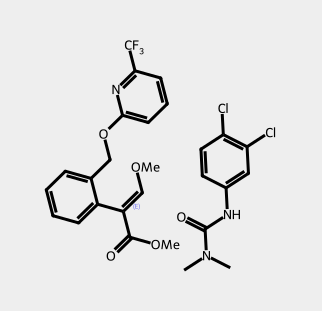 CN(C)C(=O)Nc1ccc(Cl)c(Cl)c1.CO/C=C(/C(=O)OC)c1ccccc1COc1cccc(C(F)(F)F)n1